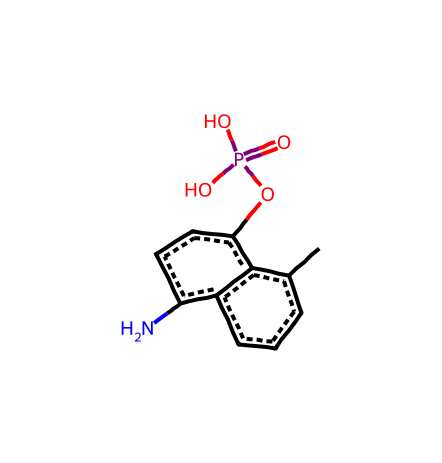 Cc1cccc2c(N)ccc(OP(=O)(O)O)c12